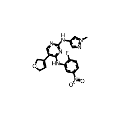 Cn1cc(Nc2ncc(C3=CCOC3)c(Nc3cc([N+](=O)[O-])ccc3F)n2)cn1